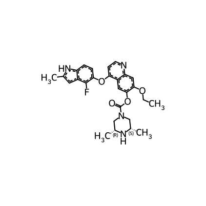 CCOc1cc2nccc(Oc3ccc4[nH]c(C)cc4c3F)c2cc1OC(=O)N1C[C@@H](C)N[C@@H](C)C1